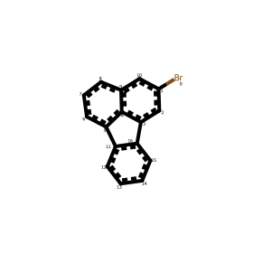 Brc1cc2c3c(cccc3c1)-c1ccccc1-2